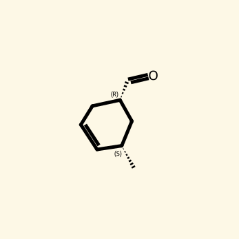 C[C@@H]1C=CC[C@H](C=O)C1